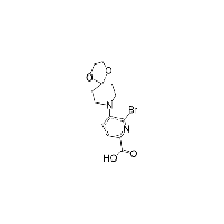 O=C(O)c1ccc(N2CCC3(CC2)OCCO3)c(Br)n1